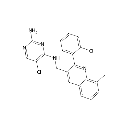 Cc1cccc2cc(CNc3nc(N)ncc3Cl)c(-c3ccccc3Cl)nc12